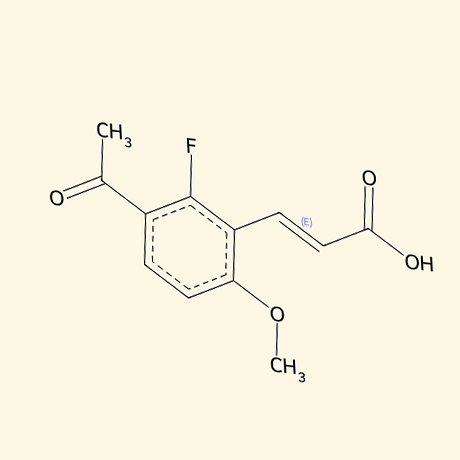 COc1ccc(C(C)=O)c(F)c1/C=C/C(=O)O